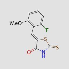 COc1cccc(F)c1/C=C1\SC(=S)NC1=O